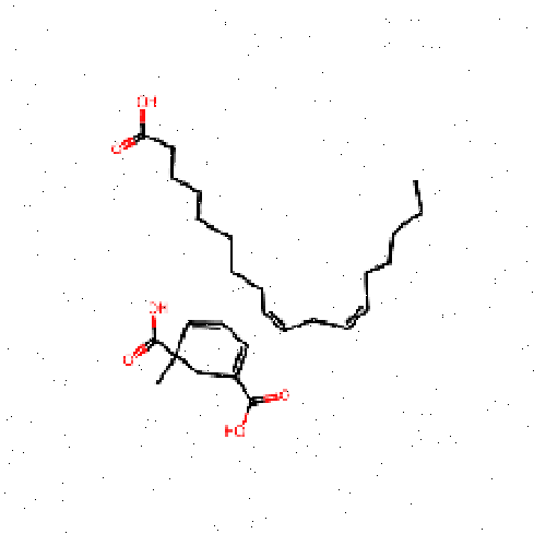 CC1(C(=O)O)C=CC=C(C(=O)O)C1.CCCCC/C=C\C/C=C\CCCCCCCC(=O)O